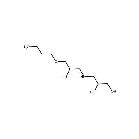 CCCCOCC(O)CNCC(O)CO